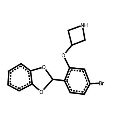 Brc1ccc(C2Oc3c[c]ccc3O2)c(OC2CNC2)c1